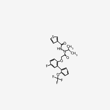 CC(C)N(NC(=O)c1ccsc1)C(=O)COc1ccc(F)cc1-c1ccccc1OC(F)(F)F